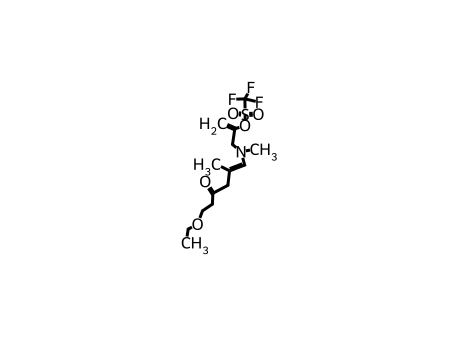 C=C(CN(C)/C=C(\C)CC(=O)CCOCC)OS(=O)(=O)C(F)(F)F